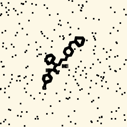 Cl.O=C(Nc1ccc(Cl)cc1)N(CCCN1CCC(Cc2ccccc2)CC1)c1cccnc1